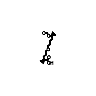 O=COC1(CCCCOCCCC2(C(=O)O)CC2)CC1